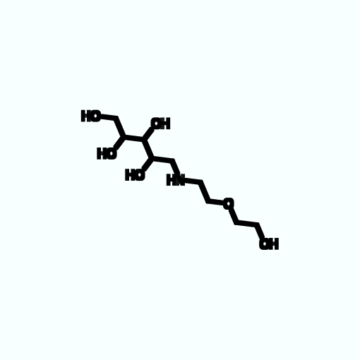 OCCOCCNCC(O)C(O)C(O)CO